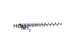 CCCCCCCCCCCCCC/C=C/C=C/C=C/C=C/C(N)CO